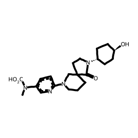 CN(C(=O)O)c1ccc(N2CCCC3(CCN([C@H]4CC[C@H](O)CC4)C3=O)C2)nc1